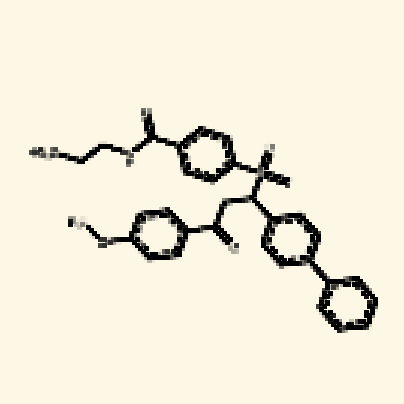 C=S(=O)(c1ccc(C(=O)NCCC(=O)O)cc1)C(CC(=O)c1ccc(OC(F)(F)F)cc1)c1ccc(-c2ccccc2)cc1